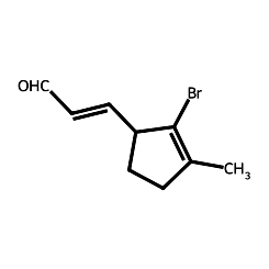 CC1=C(Br)C(C=CC=O)CC1